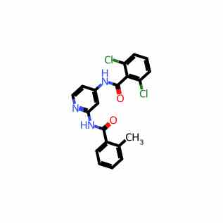 Cc1ccccc1C(=O)Nc1cc(NC(=O)c2c(Cl)cccc2Cl)ccn1